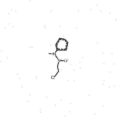 CN(c1ccccc1)[S+]([O-])CCCl